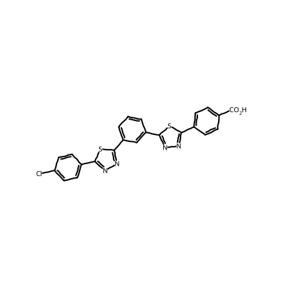 O=C(O)c1ccc(-c2nnc(-c3cccc(-c4nnc(-c5ccc(Cl)cc5)s4)c3)s2)cc1